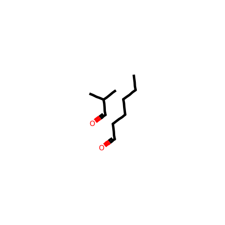 CC(C)C=O.CCCCCC=O